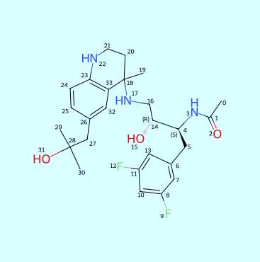 CC(=O)N[C@@H](Cc1cc(F)cc(F)c1)[C@H](O)CNC1(C)CCNc2ccc(CC(C)(C)O)cc21